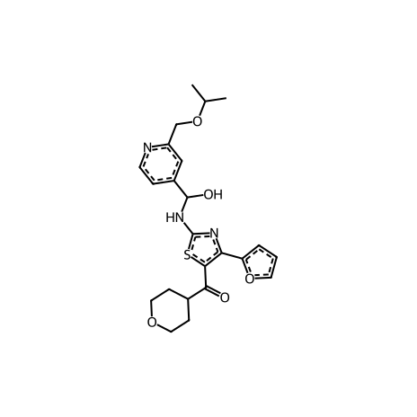 CC(C)OCc1cc(C(O)Nc2nc(-c3ccco3)c(C(=O)C3CCOCC3)s2)ccn1